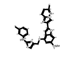 COc1cc(OCc2csc(Nc3cccc(C)c3)n2)c2cc(-c3cn4nc(C)ccc4n3)oc2c1